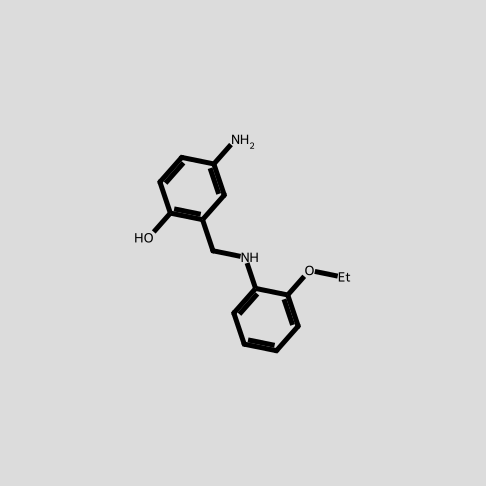 CCOc1ccccc1NCc1cc(N)ccc1O